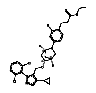 CCOC(=O)CCc1ccc(N2C[C@@H]3C[C@H]2C[C@H]3OCc2c(C3CC3)cnn2-c2c(Cl)cccc2Cl)cc1F